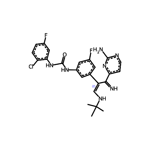 CC(C)(C)N/C=C(\C(=N)c1ccnc(N)n1)c1cc(F)cc(NC(=O)Nc2cc(F)ccc2Cl)c1